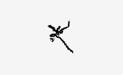 CCCCCCCCCCCCCCCCC#CCCc1ccccc1C1=C(CCCC)C(CCCC)=C(c2cccc(CCCCCCCC)c2)[N+]1=[N-].C[CH2][Ni][CH2]C